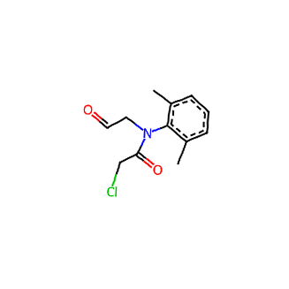 Cc1cccc(C)c1N(CC=O)C(=O)CCl